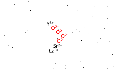 [La+3].[O-2].[O-2].[O-2].[O-2].[Sr+2].[Y+3]